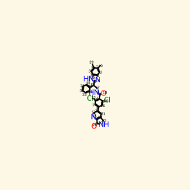 Cc1cc2nc(C(CNC(=O)c3c(Cl)cc(-c4cnc5c(c4)CNC5=O)cc3Cl)c3ccccc3)[nH]c2cc1C